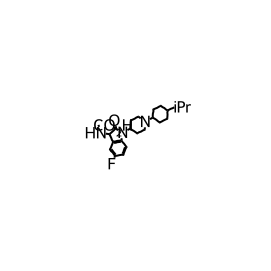 CC(C)C1CCC(N2CCC(N3C(=O)C(NC(=O)O)c4cc(F)ccc43)CC2)CC1